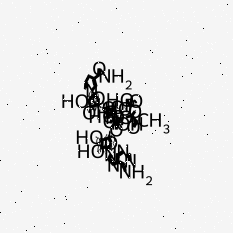 CC(=O)C(O)OP(=O)(O)O.NC(=O)C1=CN([C@@H]2O[C@H](COP(=O)(O)OP(=O)(O)OC[C@H]3O[C@@H](n4cnc5c(N)ncnc54)[C@H](O)[C@@H]3O)[C@@H](O)[C@H]2O)C=CC1